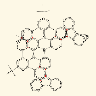 CC(C)(C)c1cc(-c2ccccc2)c(N2c3cc(-n4c5ccccc5c5ccccc54)ccc3B3c4ccc(-n5c6ccccc6c6c7c(ccc65)=C=7)cc4N(c4c(-c5ccccc5)cc(C(C)(C)C)cc4-c4ccccc4)c4cc(C(C)(C)C)cc2c43)c(-c2ccccc2)c1